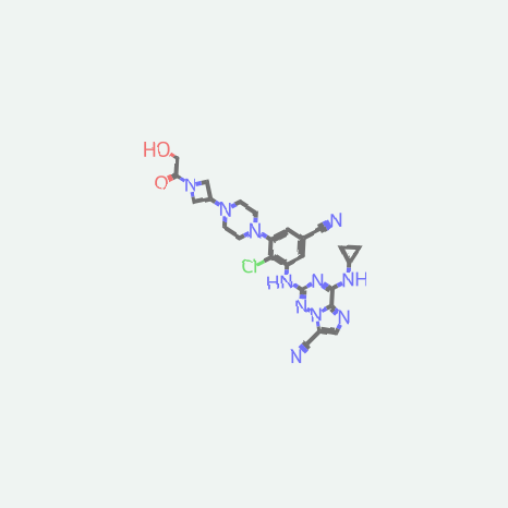 N#Cc1cc(Nc2nc(NC3CC3)c3ncc(C#N)n3n2)c(Cl)c(N2CCN(C3CN(C(=O)CO)C3)CC2)c1